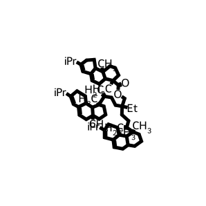 C=C(CCC(CC)(CCC(=C)C1(C)CCCC2CC=C3C=C(C(C)C)CCC3(C)C21)COC(=O)C1(C)CCCC2(C)C3CCC(C(C)C)=CC3=CCC12)C1(C)CCCC2(C)CC=C3C=C(C(C)C)CCC3C21